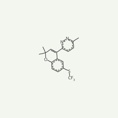 Cc1ccc(C2=CC(C)(C)Oc3ccc(SC(F)(F)F)cc32)nn1